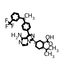 CC(C)[C@H]1CC[C@@H](c2nc(-c3ccc([C@H](C)c4cccc(C(F)(F)F)c4)cc3)c3c(N)nccn23)C[C@H]1C(=O)O